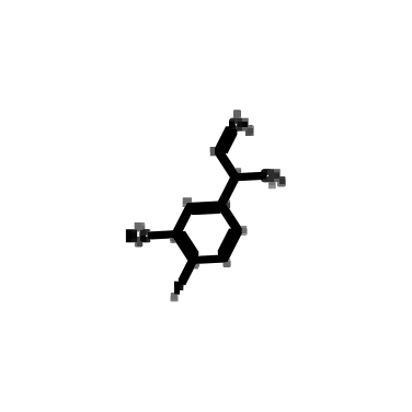 C=C[C](C)c1ccc(F)c(C)c1